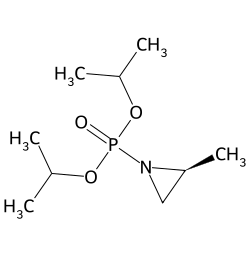 CC(C)OP(=O)(OC(C)C)N1C[C@@H]1C